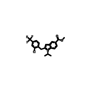 COC(=O)c1ccc2c(c1)cc(Cc1ccc(C(F)(F)F)cc1Cl)n2C(C)C